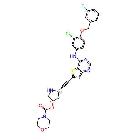 O=C(O[C@H]1CN[C@@H](C#Cc2cc3ncnc(Nc4ccc(OCc5cccc(F)c5)c(Cl)c4)c3s2)C1)N1CCOCC1